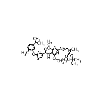 COc1nc(NCCN(C)C(=O)OC(C)(C)C)nc(OC)c1NC(=O)c1csc(Oc2cc(C(C)C)ccc2C)n1